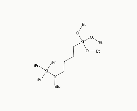 CCCCN(CCCC[Si](OCC)(OCC)OCC)[Si](C(C)C)(C(C)C)C(C)C